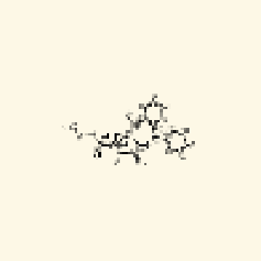 COCCC(=O)NC(C)C(=O)C1N=C(c2ccccc2)c2ccccc2N(C)[C@@H]1N